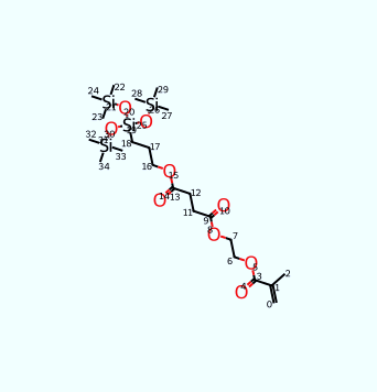 C=C(C)C(=O)OCCOC(=O)CCC(=O)OCCC[Si](O[Si](C)(C)C)(O[Si](C)(C)C)O[Si](C)(C)C